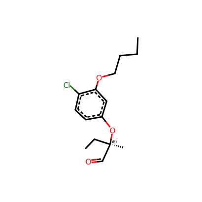 CCCCOc1cc(O[C@@](C)(C=O)CC)ccc1Cl